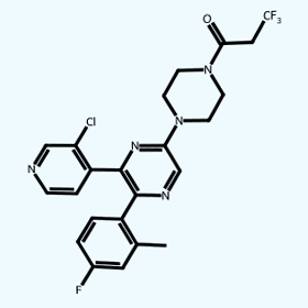 Cc1cc(F)ccc1-c1ncc(N2CCN(C(=O)CC(F)(F)F)CC2)nc1-c1ccncc1Cl